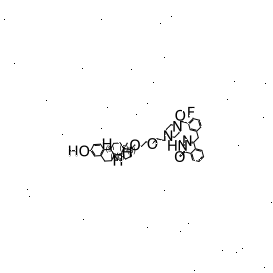 C[C@]12CC[C@@H]3c4ccc(O)cc4CC[C@H]3[C@@H]1CC[C@@H]2OCCOCCN1CCN(C(=O)c2cc(Cc3n[nH]c(=O)c4ccccc34)ccc2F)CC1